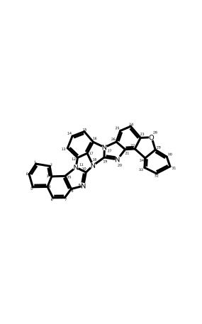 c1ccc2c(c1)ccc1nc3n(c4cccc5c4n3c3nc4c6c(ccc4n53)oc3ccccc36)c12